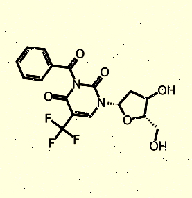 O=C(c1ccccc1)n1c(=O)c(C(F)(F)F)cn([C@@H]2CC(O)[C@H](CO)O2)c1=O